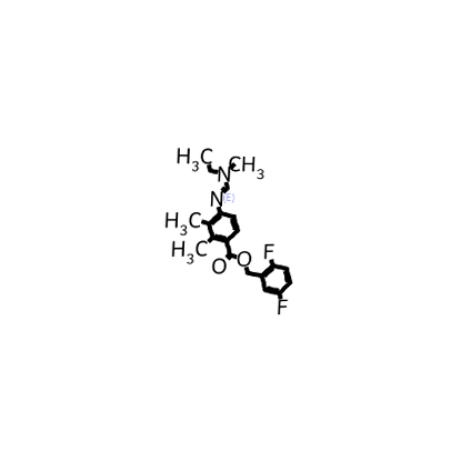 CCN(C)/C=N/c1ccc(C(=O)OCc2cc(F)ccc2F)c(C)c1C